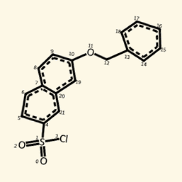 O=S(=O)(Cl)c1ccc2ccc(OCc3ccccc3)cc2c1